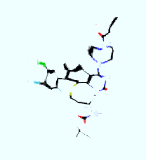 C=CC(=O)N1[C@H](C)CN(c2nc(=O)n3c4c(c(-c5cc(Cl)c(F)cc5F)c(C)cc24)SCC[C@@H](NC(=O)OC(C)(C)C)C3)C[C@@H]1C